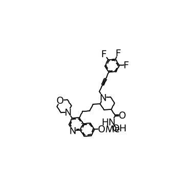 COc1ccc2ncc(N3CCOCC3)c(CCCC3CC(C(=O)NO)CCN3CC#Cc3cc(F)c(F)c(F)c3)c2c1